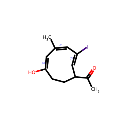 CC(=O)C1/C=C(I)/C=C(C)\C=C(\O)CC1